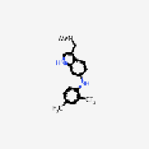 CNCc1c[nH]c2cc(Nc3ccc(C(F)(F)F)cc3C(F)(F)F)ccc12